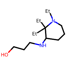 CCN1CCCC(NCCCO)C1(CC)CC